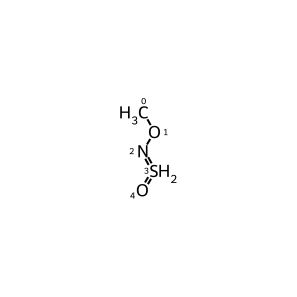 CON=[SH2]=O